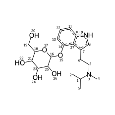 CC(C)N(C)CCc1c[nH]c2cccc(OC3OC(CO)C(O)C(O)C3O)c12